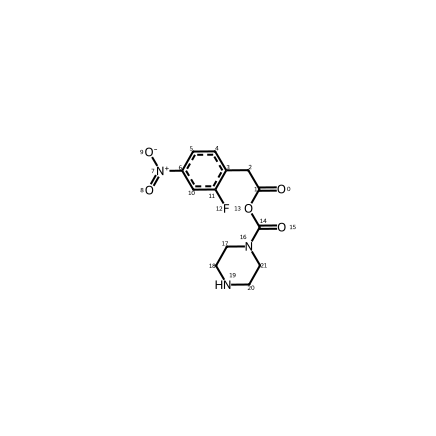 O=C(Cc1ccc([N+](=O)[O-])cc1F)OC(=O)N1CCNCC1